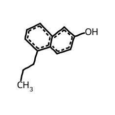 CCCc1cccc2cc(O)ccc12